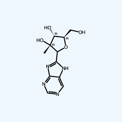 C[C@]1(O)C(c2nc3ncncc3[nH]2)O[C@H](CO)[C@H]1O